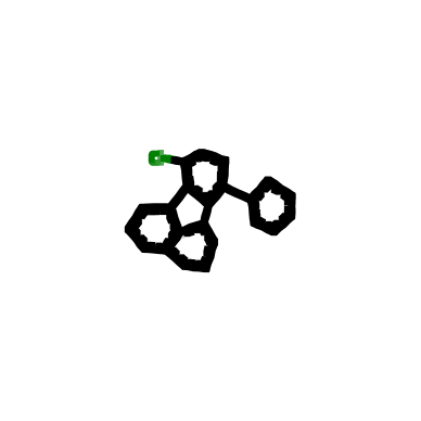 Clc1ccc(-c2ccccc2)c2c1-c1cccc3cccc-2c13